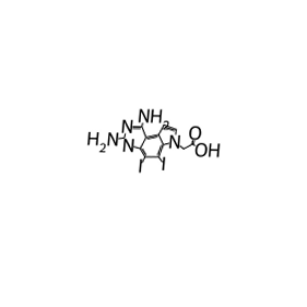 Nc1nc(N)c2c(n1)c(I)c(I)c1c2ccn1CC(=O)O